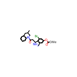 COC(=O)Oc1cc(C)c(C(N)CC(=O)N2CC(C)Cc3ccccc32)c(Br)c1